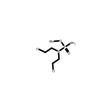 CC(C)(C)OP(N)(=O)N(CCCl)CCCl